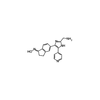 NCc1nc(-c2ccc3c(c2)CCC3=NO)c(-c2ccncc2)[nH]1